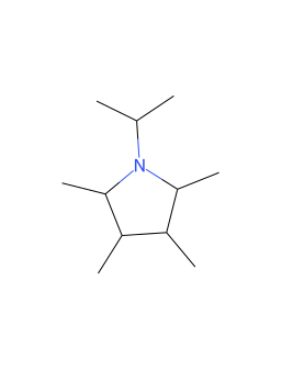 CC1C(C)C(C)N(C(C)C)C1C